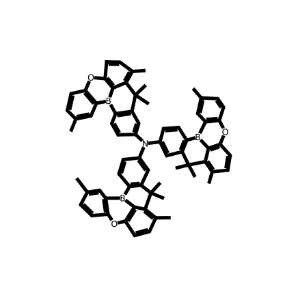 Cc1ccc2c(c1)B1c3ccc(N(c4ccc5c(c4)C(C)(C)c4c(C)ccc6c4B5c4cc(C)ccc4O6)c4ccc5c(c4)C(C)(C)c4c(C)ccc6c4B5c4cc(C)ccc4O6)cc3C(C)(C)c3c(C)ccc(c31)O2